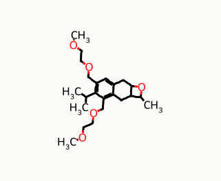 COCCOCc1cc2c(c(COCCOC)c1C(C)C)CC1C(C)OC1C2